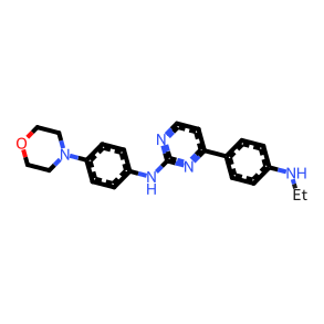 CCNc1ccc(-c2ccnc(Nc3ccc(N4CCOCC4)cc3)n2)cc1